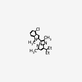 CCC(CC)c1cc(C)nn2c(-c3cc4c(Cl)cccc4n3C)c(C)nc12